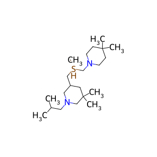 CC(C)CN1CC(C[SH](C)CN2CCC(C)(C)CC2)CC(C)(C)C1